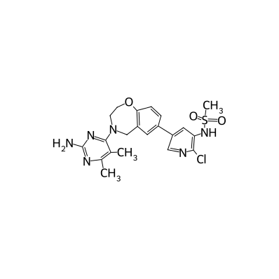 Cc1nc(N)nc(N2CCOc3ccc(-c4cnc(Cl)c(NS(C)(=O)=O)c4)cc3C2)c1C